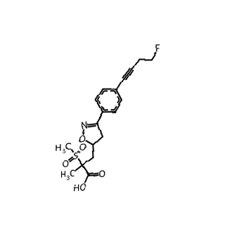 CC(CC1CC(c2ccc(C#CCCF)cc2)=NO1)(C(=O)O)S(C)(=O)=O